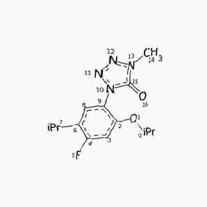 CC(C)Oc1cc(F)c(C(C)C)cc1-n1nnn(C)c1=O